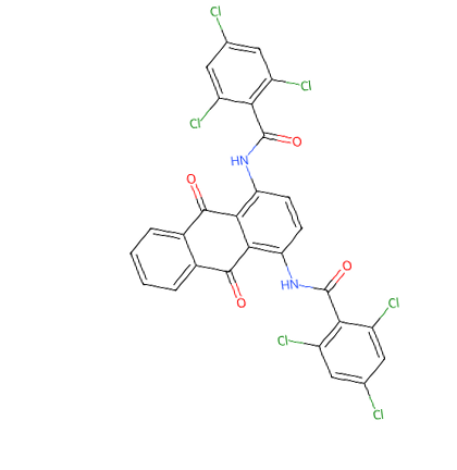 O=C(Nc1ccc(NC(=O)c2c(Cl)cc(Cl)cc2Cl)c2c1C(=O)c1ccccc1C2=O)c1c(Cl)cc(Cl)cc1Cl